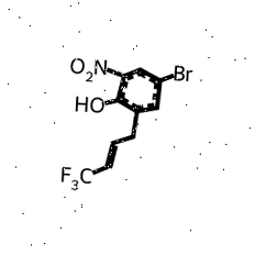 O=[N+]([O-])c1cc(Br)cc(CC=CC(F)(F)F)c1O